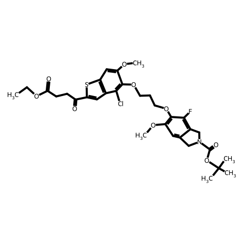 CCOC(=O)CCC(=O)c1cc2c(Cl)c(OCCCOc3c(OC)cc4c(c3F)CN(C(=O)OC(C)(C)C)C4)c(OC)cc2s1